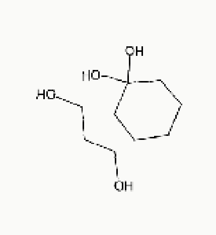 OC1(O)CCCCC1.OCCCO